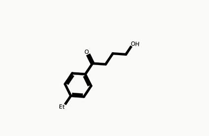 CCc1ccc(C(=O)CCCO)cc1